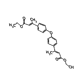 CCOC(=O)C=C(C)c1ccc(Oc2ccc(C(C)=CC(=O)OCC)cc2)cc1